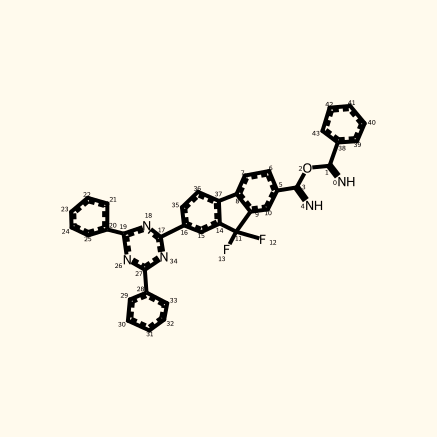 N=C(OC(=N)c1ccc2c(c1)C(F)(F)c1cc(-c3nc(-c4ccccc4)nc(-c4ccccc4)n3)ccc1-2)c1ccccc1